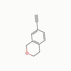 C#Cc1ccc2c(c1)COCC2